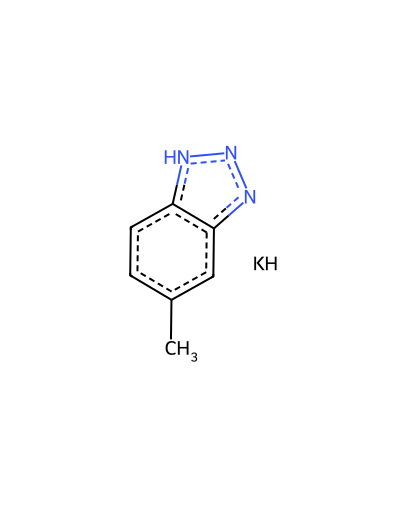 Cc1ccc2[nH]nnc2c1.[KH]